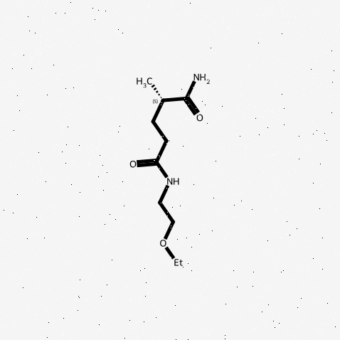 CCOCCNC(=O)[CH]C[C@H](C)C(N)=O